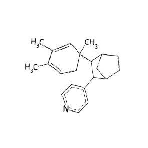 CC1=CCC(C)(C2C3CCC(C3)C2c2ccncc2)C=C1C